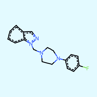 Fc1ccc(N2CCN(Cn3ncc4ccccc43)CC2)cc1